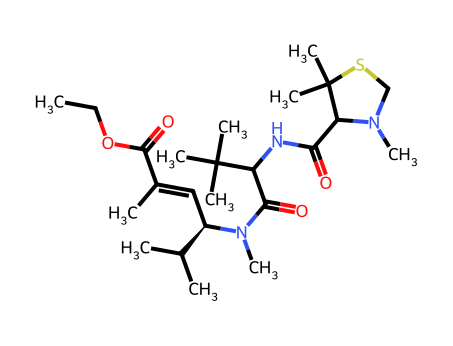 CCOC(=O)/C(C)=C/[C@H](C(C)C)N(C)C(=O)C(NC(=O)C1N(C)CSC1(C)C)C(C)(C)C